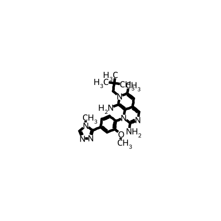 COc1cc(-c2nncn2C)ccc1N1C(N)=NC=C2C=C(C)N(CC(C)(C)C)C(N)=C21